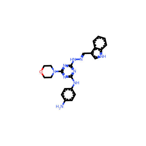 Nc1ccc(Nc2nc(NN=Cc3c[nH]c4ccccc34)nc(N3CCOCC3)n2)cc1